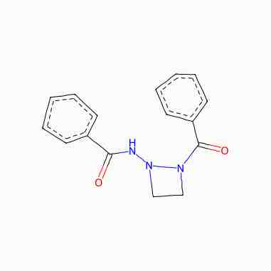 O=C(NN1CCN1C(=O)c1ccccc1)c1ccccc1